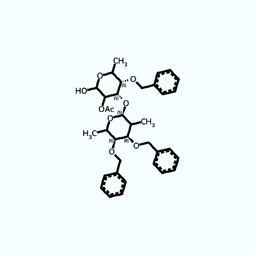 CC(=O)OC1C(O)OC(C)[C@H](OCc2ccccc2)[C@@H]1O[C@@H]1OC(C)[C@H](OCc2ccccc2)[C@H](OCc2ccccc2)C1C